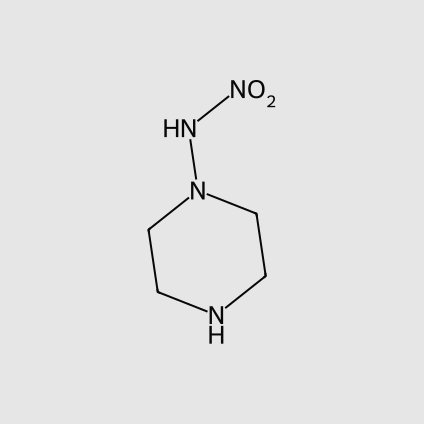 O=[N+]([O-])NN1CCNCC1